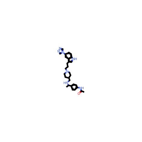 CC(=O)Nc1ccc(C(C)NCC2CCN(CCCc3c[nH]c4ccc(-n5cnnc5)cc34)CC2)cc1